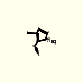 CC1=[C]([V]=[O])CC=C1.Cl.Cl